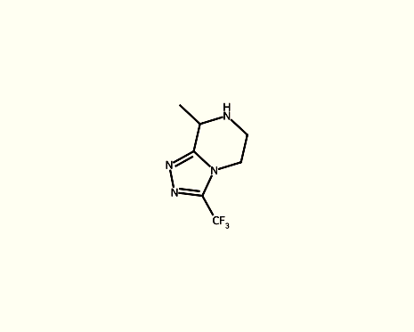 CC1NCCn2c1nnc2C(F)(F)F